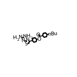 CCCCc1ccc(C(=O)Oc2ccc(-c3csc(N=C(N)N)n3)cc2)cc1